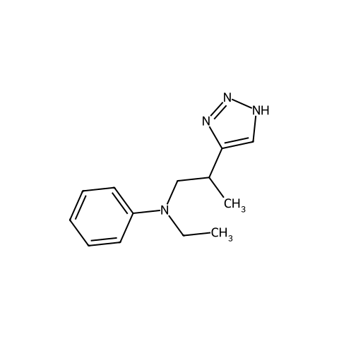 CCN(CC(C)c1c[nH]nn1)c1ccccc1